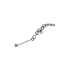 CCCCCC[C@@H](C)Oc1ccc(C(=O)Oc2ccc(C3CCC(OCCCCCCCCCCCBr)CC3)cc2)cc1